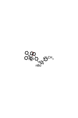 CCCCc1nc(-c2ccc(C)nn2)cn1Cc1ccc(-c2ccccc2-c2nnnn2C(c2ccccc2)(c2ccccc2)c2ccccc2)cc1